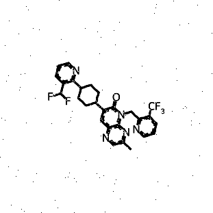 Cc1cnc2cc(C3CCC(c4ncccc4C(F)F)CC3)c(=O)n(Cc3ncccc3C(F)(F)F)c2n1